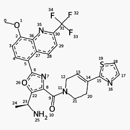 COc1ccc(-c2nc(C(=O)N3CC=C(c4nccs4)CC3)c([C@H](C)N)o2)c2ccc(C(F)(F)F)nc12